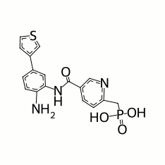 Nc1ccc(-c2ccsc2)cc1NC(=O)c1ccc(CP(=O)(O)O)nc1